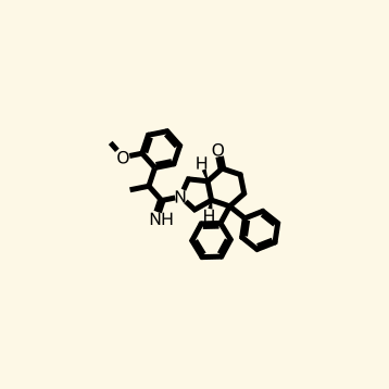 COc1ccccc1C(C)C(=N)N1C[C@@H]2C(=O)CCC(c3ccccc3)(c3ccccc3)[C@@H]2C1